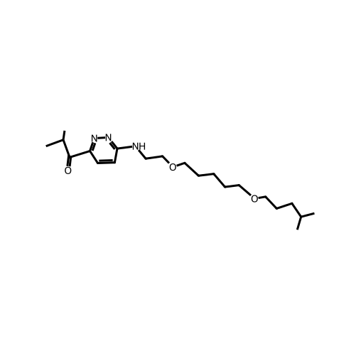 CC(C)CCCOCCCCCOCCNc1ccc(C(=O)C(C)C)nn1